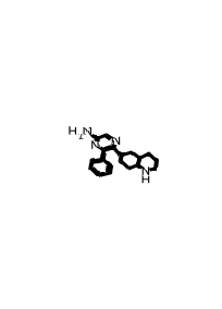 Nc1cnc(C2CCC3NCCCC3C2)c(-c2ccccc2)n1